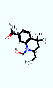 CCC1CC(C)(C)c2ccc(C(C)=O)cc2N1CO